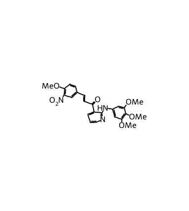 COc1ccc(C=CC(=O)c2cccnc2Nc2cc(OC)c(OC)c(OC)c2)cc1[N+](=O)[O-]